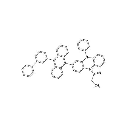 CCc1nc2cccc3c2n1-c1ccc(-c2c4ccccc4c(-c4cccc(-c5ccccc5)c4)c4ccccc24)cc1N3c1ccccc1